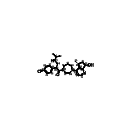 CC(C)NC[C@@H](C(=O)N1CCCN(c2ncnc3c2[C@H](C)C[C@H]3O)CC1)c1ccc(Cl)cc1